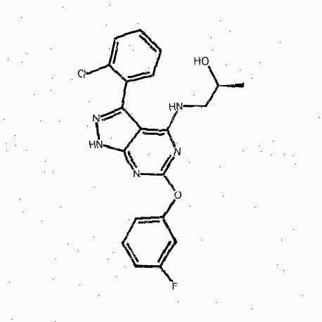 C[C@H](O)CNc1nc(Oc2cccc(F)c2)nc2[nH]nc(-c3ccccc3Cl)c12